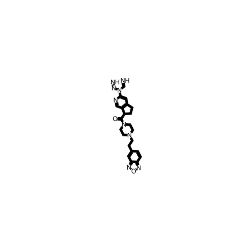 N=CN(N=N)c1cc2c(cn1)C(C(=O)N1CCN(CCc3ccc4nonc4c3)CC1)CC2